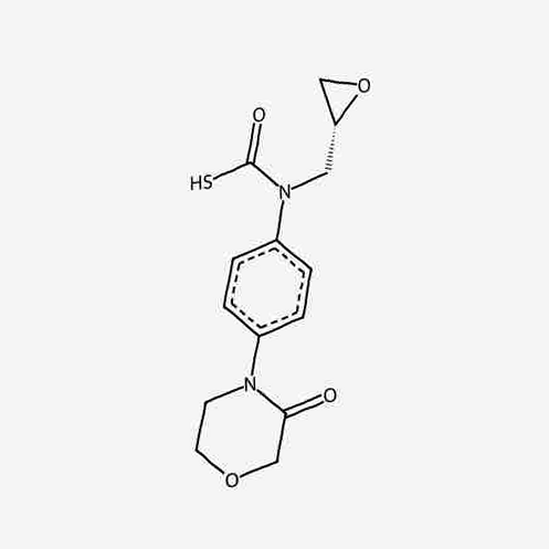 O=C(S)N(C[C@@H]1CO1)c1ccc(N2CCOCC2=O)cc1